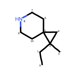 CCC1(C)CC12CCNCC2